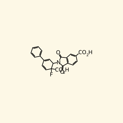 O=C(O)c1ccc2c(c1)C(=O)N(C1C=C(c3ccccc3)C=CC1(F)C(=O)O)C2=O